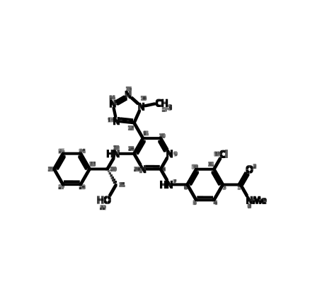 CNC(=O)c1ccc(Nc2ncc(-c3nnnn3C)c(N[C@H](CO)c3ccccc3)n2)cc1Cl